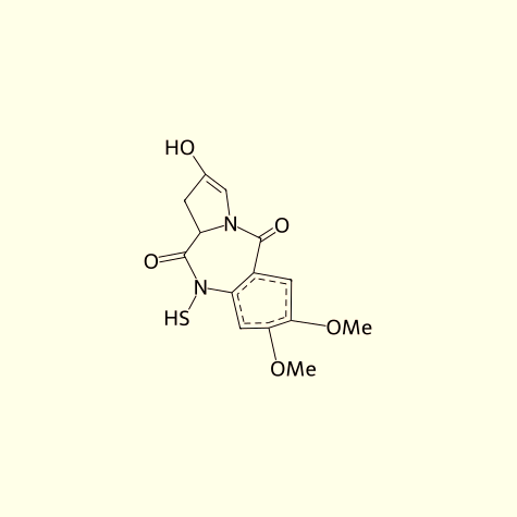 COc1cc2c(cc1OC)N(S)C(=O)C1CC(O)=CN1C2=O